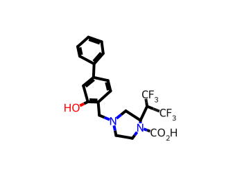 O=C(O)N1CCN(Cc2ccc(-c3ccccc3)cc2O)CC1C(C(F)(F)F)C(F)(F)F